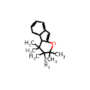 CC1(C)OC2=CC3=CC=CCC3C2C(C)(C)C1(C)C